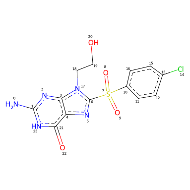 Nc1nc2c(nc(S(=O)(=O)c3ccc(Cl)cc3)n2CCO)c(=O)[nH]1